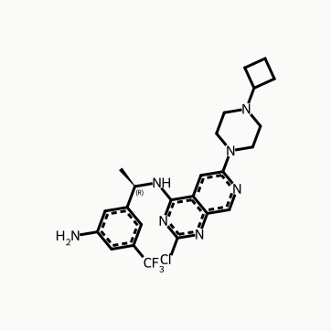 C[C@@H](Nc1nc(Cl)nc2cnc(N3CCN(C4CCC4)CC3)cc12)c1cc(N)cc(C(F)(F)F)c1